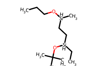 CCCO[SiH](C)CC[SiH](CC)OC(C)(C)C